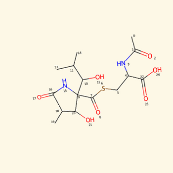 CC(=O)NC(CSC(=O)C1(C(O)C(C)C)NC(=O)C(C)C1O)C(=O)O